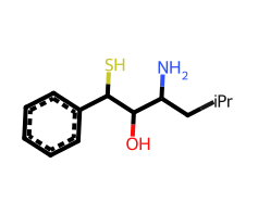 CC(C)CC(N)C(O)C(S)c1ccccc1